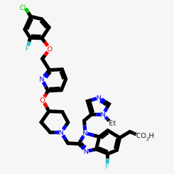 CCn1cncc1Cn1c(CN2CCC(Oc3cccc(COc4ccc(Cl)cc4F)n3)CC2)nc2c(F)cc(CC(=O)O)cc21